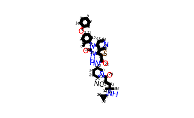 Cc1cc(Oc2ccccc2)ccc1N1C(=O)Nc2c(C(=O)N[C@@H]3CCCN(C(=O)/C(C#N)=C/C(C)(C)NC4CC4)C3)sc3nccc1c23